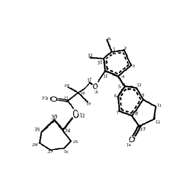 Cc1ccc(-c2ccc3c(c2)CCC3=O)c(OCC(C)(C)C(=O)OC2CCCCCC2)c1C